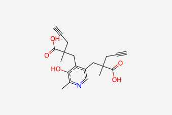 C#CCC(C)(Cc1cnc(C)c(O)c1CC(C)(CC#C)C(=O)O)C(=O)O